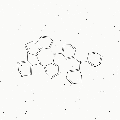 c1ccc(N(c2ccccc2)c2cccc(-n3c4cccc5ccc6c7ccncc7n(c7ccccc73)c6c54)c2)cc1